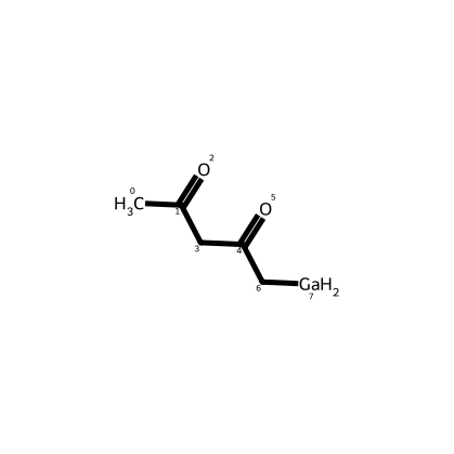 CC(=O)CC(=O)[CH2][GaH2]